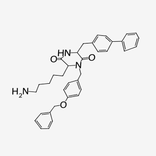 NCCCCCC1C(=O)NC(Cc2ccc(-c3ccccc3)cc2)C(=O)N1Cc1ccc(OCc2ccccc2)cc1